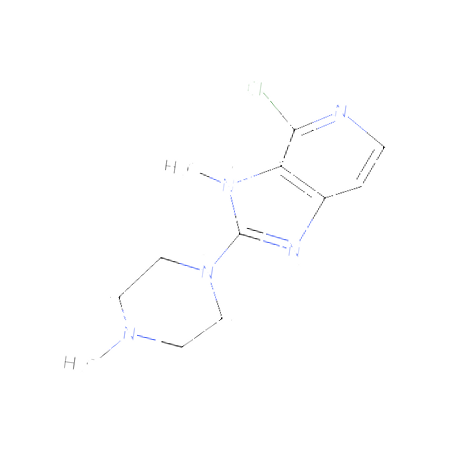 CN1CCN(c2nc3ccnc(Cl)c3n2C)CC1